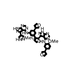 COc1ccc(-c2ccoc2)cc1Nc1ncnc2[nH]nc(-c3occc3-c3cc(-c4ccoc4)cc(Nc4ncnc5[nH]nc(-c6cn[nH]c6)c45)c3OC)c12